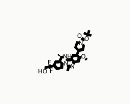 COc1cc2nc(C)nc(N[C@H](C)c3cccc(C(F)(F)CO)c3)c2cc1C1=CCN(C(=O)OC(C)(C)C)CC1